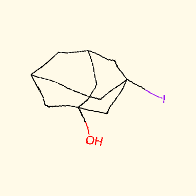 OC12CC3CC(C1)CC(I)(C3)C2